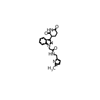 Cn1ccc(CNC(=O)Cn2nc(C3CCC(=O)NC3=O)c3ccccc32)n1